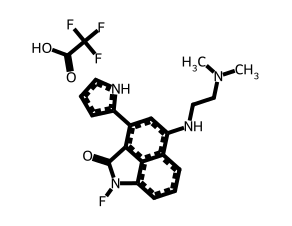 CN(C)CCNc1cc(-c2ccc[nH]2)c2c3c(cccc13)N(F)C2=O.O=C(O)C(F)(F)F